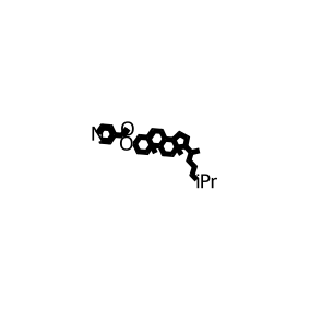 CC(C)CCCC(C)C1CCC2C3CC=C4CC(OC(=O)c5ccncc5)CCC4(C)C3CCC12C